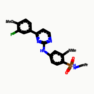 CCCNS(=O)(=O)c1ccc(Nc2nccc(-c3ccc(OC)c(F)c3)n2)cc1NC